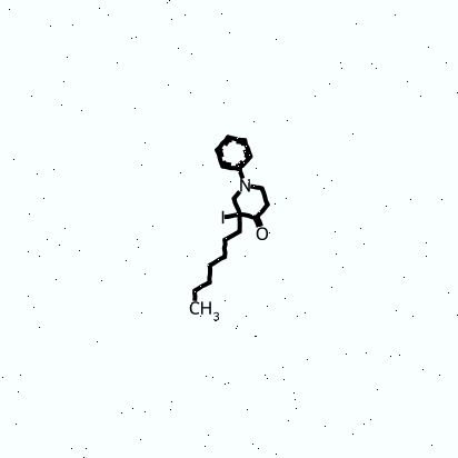 CCCCCCCC1(I)CN(c2ccccc2)CCC1=O